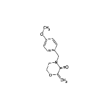 C=C1OCCN(Cc2ccc(OC)cc2)C1=O